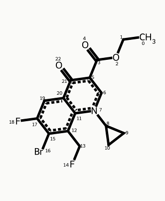 CCOC(=O)c1cn(C2CC2)c2c(CF)c(Br)c(F)cc2c1=O